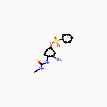 CNC(=O)Nc1ccc(OS(=O)(=O)c2ccccc2)cc1N